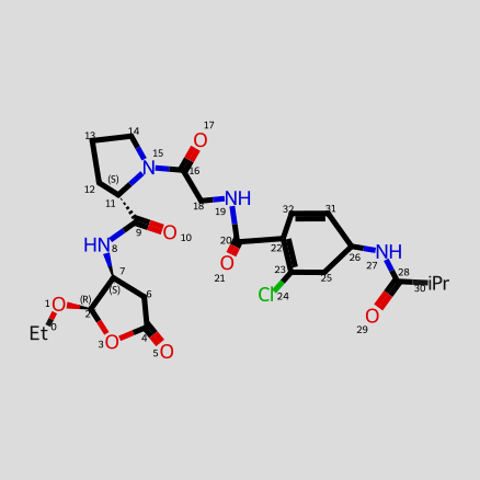 CCO[C@@H]1OC(=O)C[C@@H]1NC(=O)[C@@H]1CCCN1C(=O)CNC(=O)C1=C(Cl)CC(NC(=O)C(C)C)C=C1